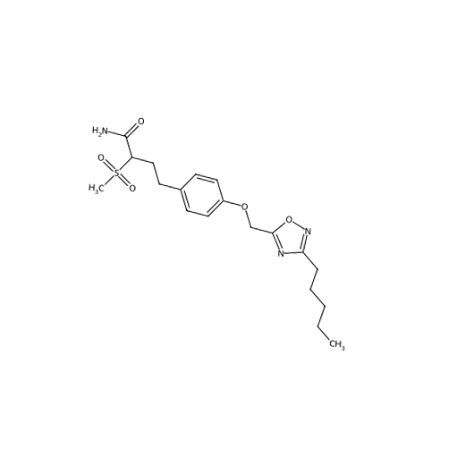 CCCCCc1noc(COc2ccc(CCC(C(N)=O)S(C)(=O)=O)cc2)n1